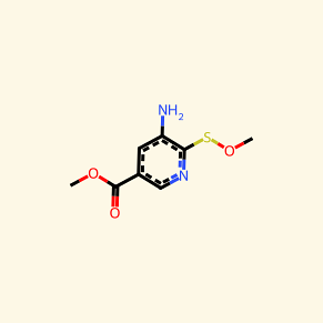 COSc1ncc(C(=O)OC)cc1N